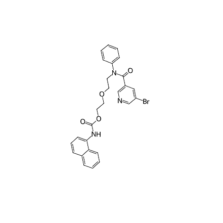 O=C(Nc1cccc2ccccc12)OCCOCCN(C(=O)c1cncc(Br)c1)c1ccccc1